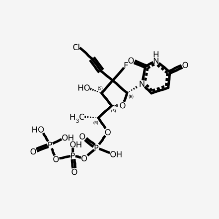 C[C@@H](OP(=O)(O)OP(=O)(O)OP(=O)(O)O)[C@H]1O[C@@H](n2ccc(=O)[nH]c2=O)C(F)(C#CCl)[C@H]1O